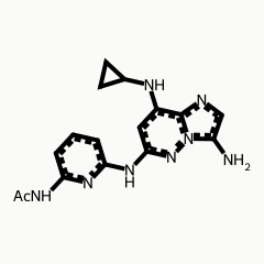 CC(=O)Nc1cccc(Nc2cc(NC3CC3)c3ncc(N)n3n2)n1